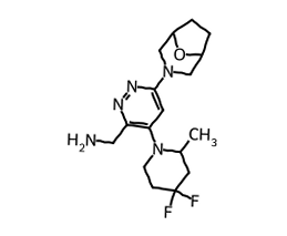 CC1CC(F)(F)CCN1c1cc(N2CC3CCC(C2)O3)nnc1CN